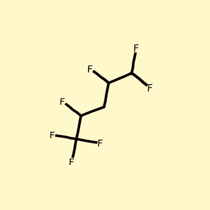 F[C](F)C(F)CC(F)C(F)(F)F